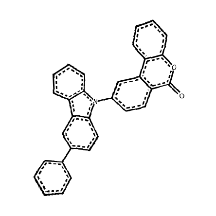 O=c1oc2ccccc2c2cc(-n3c4ccccc4c4cc(-c5ccccc5)ccc43)ccc12